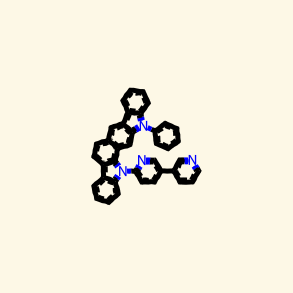 c1ccc(-n2c3ccccc3c3cc4ccc5c6ccccc6n(-c6ccc(-c7cccnc7)cn6)c5c4cc32)cc1